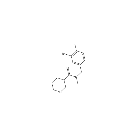 Cc1ccc(CN(C)C(=O)C2CCCOC2)cc1Br